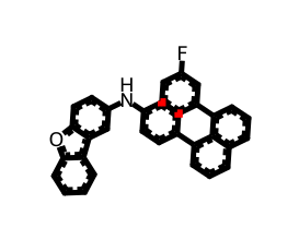 Fc1cccc(-c2cccc3cccc(-c4ccc(Nc5ccc6oc7ccccc7c6c5)cc4)c23)c1